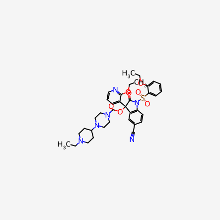 CCOc1ccccc1S(=O)(=O)N1C(=O)C(OC(=O)N2CCN(C3CCN(CC)CC3)CC2)(c2cccnc2OCC)c2cc(C#N)ccc21